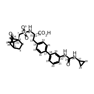 CC1(C)C2CC[C@@]1(CS(=O)(=O)N[C@@H](Cc1ccc(-c3cccc(NC(=O)NC4CC4)c3)cc1)C(=O)O)C(=O)C2